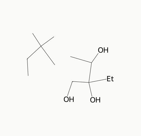 CCC(C)(C)C.CCC(O)(CO)C(C)O